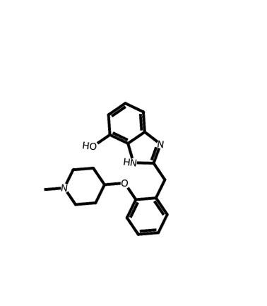 CN1CCC(Oc2ccccc2Cc2nc3cccc(O)c3[nH]2)CC1